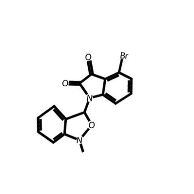 CN1OC(N2C(=O)C(=O)c3c(Br)cccc32)c2ccccc21